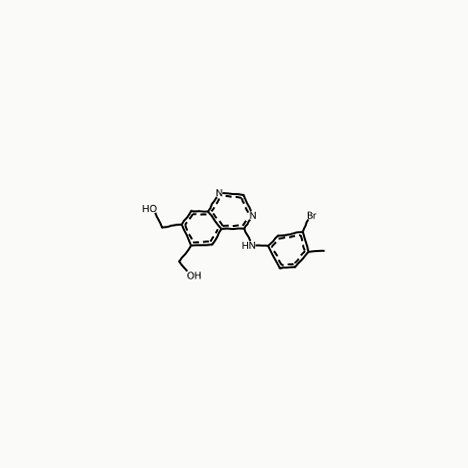 Cc1ccc(Nc2ncnc3cc(CO)c(CO)cc23)cc1Br